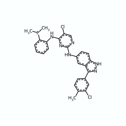 Cc1ccc(-c2n[nH]c3ccc(Nc4ncc(Cl)c(Nc5ccccc5P(C)C)n4)cc23)cc1Cl